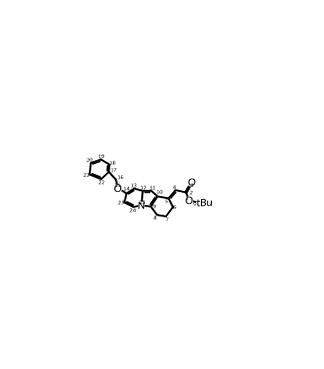 CC(C)(C)OC(=O)C=C1CCCc2c1cc1cc(OCc3ccccc3)ccn21